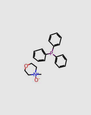 C[N+]1([O-])CCOCC1.c1ccc(P(c2ccccc2)c2ccccc2)cc1